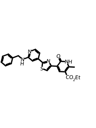 CCOC(=O)c1cc(-c2csc(-c3ccnc(NCc4ccccc4)c3)n2)c(=O)[nH]c1C